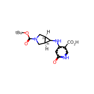 CC(C)(C)OC(=O)N1C[C@@H]2C(Nc3cc(=O)[nH]cc3C(=O)O)[C@@H]2C1